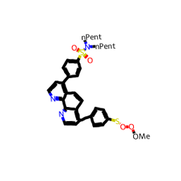 CCCCCN(CCCCC)S(=O)(=O)c1ccc(-c2ccnc3c2ccc2c(-c4ccc(SOOOC)cc4)ccnc23)cc1